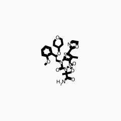 COc1ccccc1[C@H](CN1C(=O)N(C(C)(C)C(N)=O)S(=O)(=O)c2c1sc(-c1ncco1)c2C)OC1CCOCC1